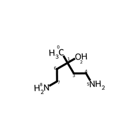 CC(O)(CCN)CCN